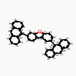 c1ccc2c(-c3ccc4c(c3)oc3ccc(-c5c6ccccc6cc6ccccc56)cc34)c3ccccc3cc2c1